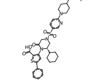 NCC1CCN(c2ccc(S(=O)(=O)N3CC(=O)N(c4cc(-c5ccccc5)sc4C(=O)O)[C@H](C4CCCCC4)C3)cn2)CC1